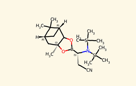 CC1(C)[C@@H]2C[C@H]1C1OB([C@@H](CC#N)N([Si](C)(C)C)[Si](C)(C)C)O[C@@]1(C)C2